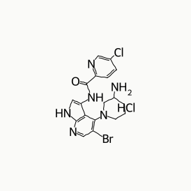 Cl.NC1CCCN(c2c(Br)cnc3[nH]cc(NC(=O)c4ccc(Cl)cn4)c23)C1